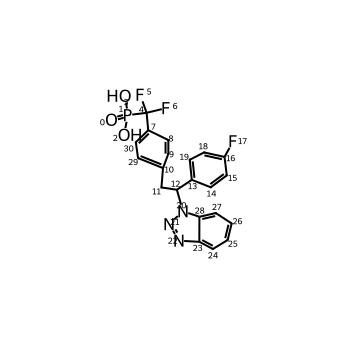 O=P(O)(O)C(F)(F)c1ccc(CC(c2ccc(F)cc2)n2nnc3ccccc32)cc1